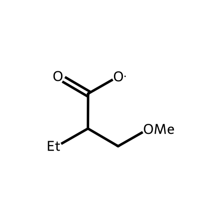 CCC(COC)C([O])=O